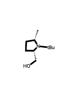 C[C@H]1CC[C@@H](CO)N1C(C)(C)C